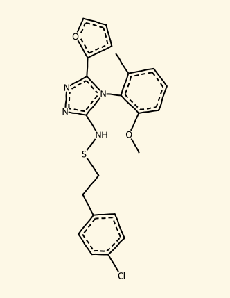 COc1cccc(C)c1-n1c(NSCCc2ccc(Cl)cc2)nnc1-c1ccco1